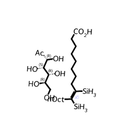 CC(=O)[C@H](O)[C@@H](O)[C@H](O)[C@H](O)CO.CCCCCCCC/C([SiH3])=C(/[SiH3])CCCCCCCC(=O)O